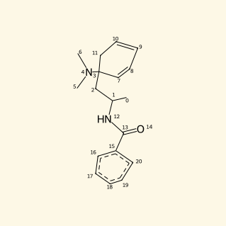 CC(CC1(N(C)C)C=CC=CC1)NC(=O)c1ccccc1